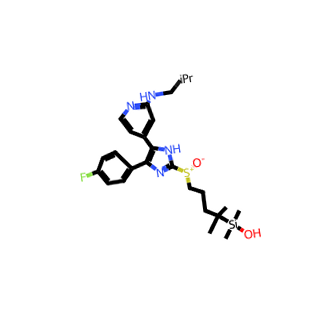 CC(C)CNc1cc(-c2[nH]c([S+]([O-])CCCC(C)(C)[Si](C)(C)O)nc2-c2ccc(F)cc2)ccn1